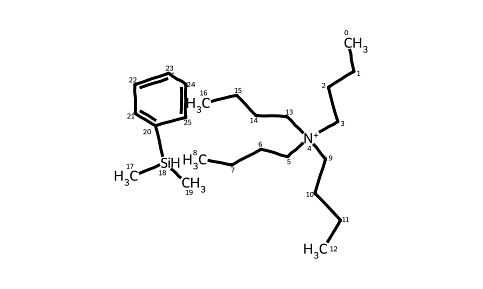 CCCC[N+](CCCC)(CCCC)CCCC.C[SiH](C)c1cc[c]cc1